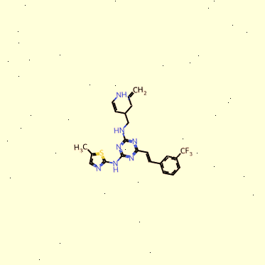 C=CCC(/C=C\N)CNc1nc(/C=C/c2cccc(C(F)(F)F)c2)nc(Nc2ncc(C)s2)n1